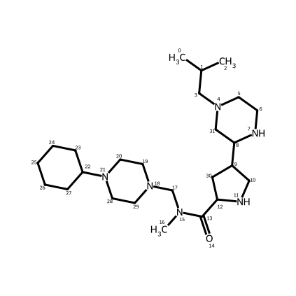 CC(C)CN1CCNC(C2CNC(C(=O)N(C)CN3CCN(C4CCCCC4)CC3)C2)C1